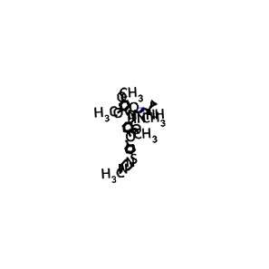 CN/C(=C\C(=N)C1CC1)C(=O)N(Cc1ccc(OC)cc1OC)Cc1cccc(OCc2ccc(SN3CCN(C)CC3)cc2)c1OC